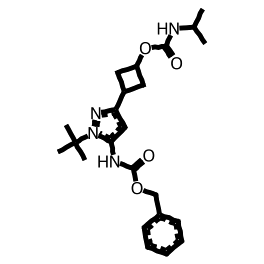 CC(C)NC(=O)OC1CC(c2cc(NC(=O)OCc3ccccc3)n(C(C)(C)C)n2)C1